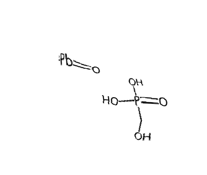 O=P(O)(O)O.[O]=[Pb]